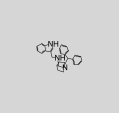 c1ccc(C(c2ccccc2)C2C(NCc3c[nH]c4ccccc34)C3CCN2CC3)cc1